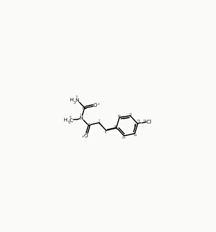 CN(C(N)=O)C(=O)[CH]Cc1ccc(Cl)cc1